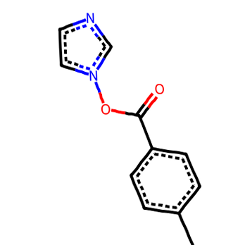 Cc1ccc(C(=O)On2ccnc2)cc1